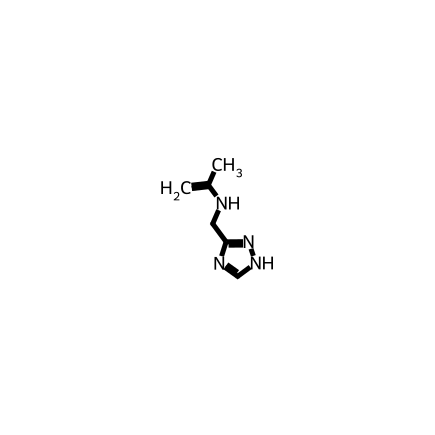 C=C(C)NCc1nc[nH]n1